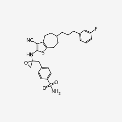 N#Cc1c(NC2(Cc3ccc(S(N)(=O)=O)cc3)CO2)sc2c1CCC(CCCc1cccc(F)c1)CC2